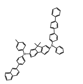 Cc1ccc(N(c2ccc(-c3ccc4ccccc4c3)cc2)c2ccc3c(c2)C(C)(C)c2cc(N(c4ccccc4)c4ccc(-c5ccc(-c6ccccc6)cc5)cc4)ccc2-3)cc1